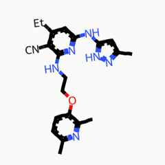 [C-]#[N+]c1c(CC)cc(Nc2cc(C)n[nH]2)nc1NCCOc1ccc(C)nc1C